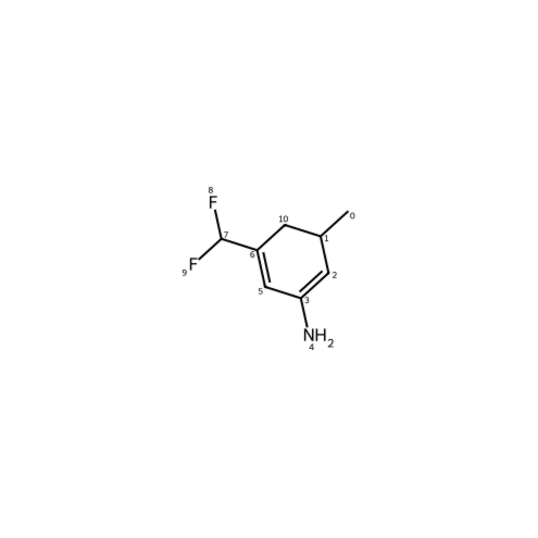 CC1C=C(N)C=C(C(F)F)C1